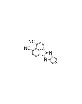 N#Cc1ccc2c3c(ccc(C#N)c13)-c1nc3cscc3nc1-2